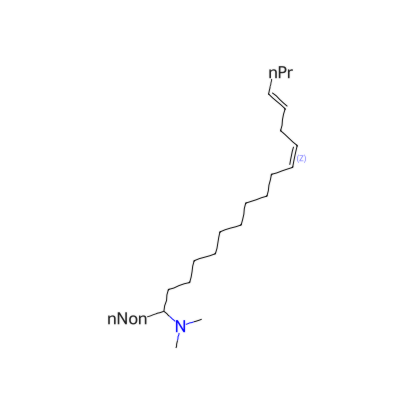 CCCC=CC/C=C\CCCCCCCCCC(CCCCCCCCC)N(C)C